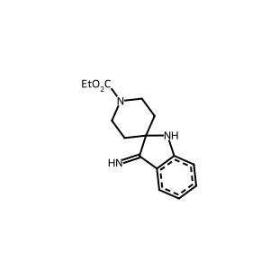 CCOC(=O)N1CCC2(CC1)Nc1ccccc1C2=N